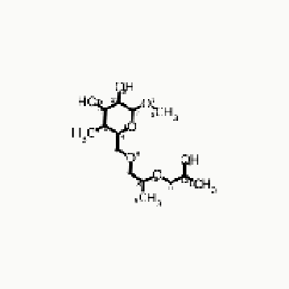 COC1OC(COCC(C)OCC(C)O)C(C)C(O)C1O